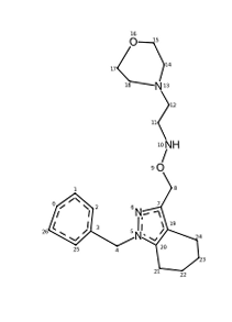 c1ccc(Cn2nc(CONCCN3CCOCC3)c3c2CCCC3)cc1